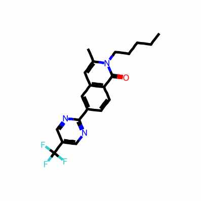 CCCCCn1c(C)cc2cc(-c3ncc(C(F)(F)F)cn3)ccc2c1=O